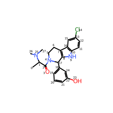 CC(C(=O)N1CCc2c([nH]c3ccc(Cl)cc23)C1c1cccc(O)c1)N(C)C